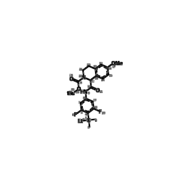 CC[Si](C)(C)c1c(F)cc(NC(=O)C2c3ccc(OC)cc3CCN2C(=O)OC(C)(C)C)cc1F